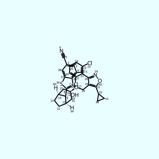 N#Cc1cc(F)c2nc([C@@]3(O)[C@@H]4CC[C@H]3C[C@@H](OCc3c(-c5c(Cl)cccc5Cl)noc3C3CC3)C4)sc2c1